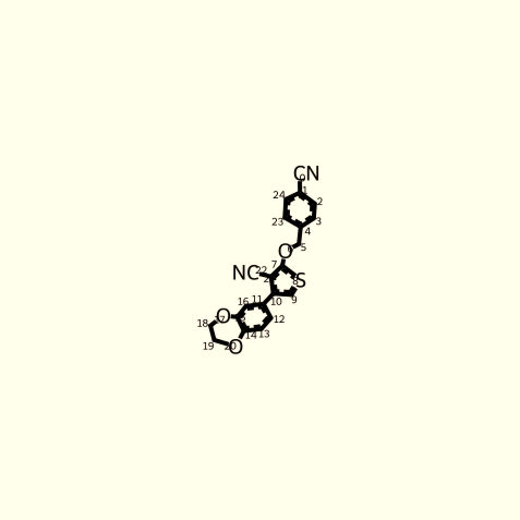 N#Cc1ccc(COc2scc(-c3ccc4c(c3)OCCO4)c2C#N)cc1